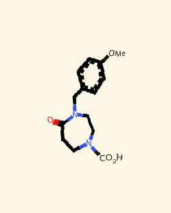 COc1ccc(CN2CCN(C(=O)O)CCC2=O)cc1